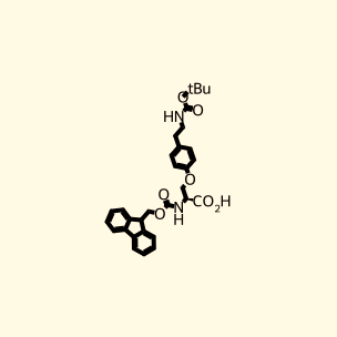 CC(C)(C)OC(=O)NCCc1ccc(OC[C@H](NC(=O)OCC2c3ccccc3-c3ccccc32)C(=O)O)cc1